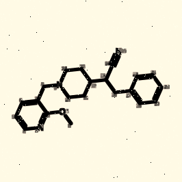 COc1ncccc1CN1CCC(C(C#N)Cc2ccccc2)CC1